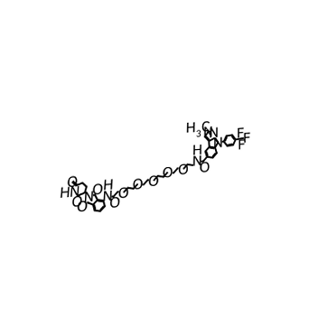 Cn1cc2c3cc(C(=O)NCCOCCOCCOCCOCCOCC(=O)Nc4cccc5c4C(=O)N(C4CCC(=O)NC4=O)C5=O)ccc3n(-c3ccc(C(F)(F)F)cc3)c2n1